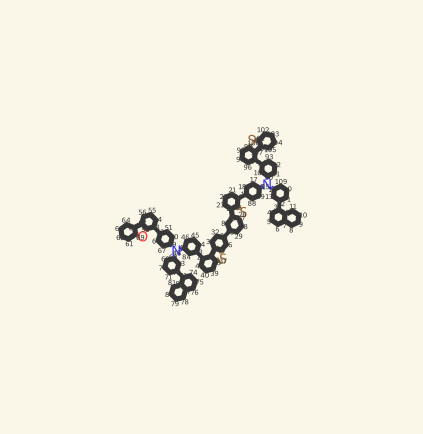 c1cc(-c2cccc3ccccc23)cc(N(c2ccc(-c3cccc4c3sc3ccc(-c5ccc6c(c5)sc5cccc(-c7cccc(N(c8ccc(-c9cccc%10c9oc9ccccc9%10)cc8)c8cccc(-c9cccc%10ccccc9%10)c8)c7)c56)cc34)cc2)c2cccc(-c3cccc4sc5ccccc5c34)c2)c1